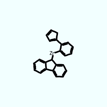 C1=CCC(c2cccc[c]2[Zr][CH]2c3ccccc3-c3ccccc32)=C1